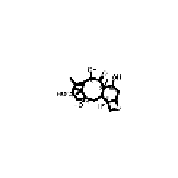 CC1=C2[C@@H](O)C(=O)[C@@]3(C)C(C[C@](O)(C[C@@H]1O)C2(C)C)[C@@H]1COC1C[C@@H]3O